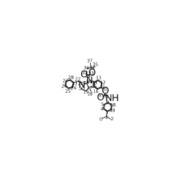 CC(C)c1ccc(NC(=O)Oc2ccc3c(c2)[C@]2(C)CCN(Cc4ccccc4)C2N3C(=O)OC(C)(C)C)cc1